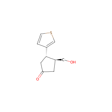 O=C1C[C@H](CO)[C@@H](c2ccsc2)C1